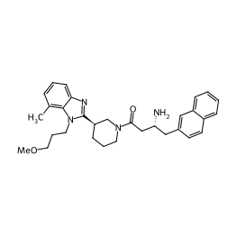 COCCCn1c([C@@H]2CCCN(C(=O)C[C@H](N)Cc3ccc4ccccc4c3)C2)nc2cccc(C)c21